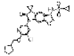 O=C1N(c2cnc(OCC3CCCC3)c(Cl)c2)c2cc3onc(NS(=O)(=O)C4CC4)c3cc2C12CC2